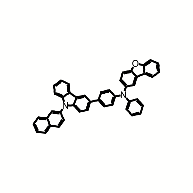 c1ccc(N(c2ccc(-c3ccc4c(c3)c3ccccc3n4-c3ccc4ccccc4c3)cc2)c2ccc3oc4ccccc4c3c2)cc1